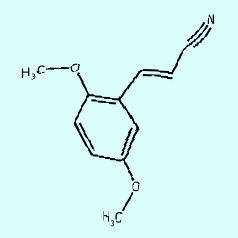 COc1ccc(OC)c(C=CC#N)c1